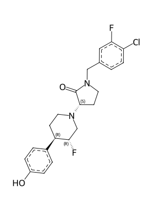 O=C1[C@@H](N2CC[C@H](c3ccc(O)cc3)[C@@H](F)C2)CCN1Cc1ccc(Cl)c(F)c1